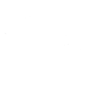 CCc1cc(-c2nccs2)c(OCc2ccccc2)cc1OCCCOCCCc1ccccc1Oc1ccccc1C(=O)OC